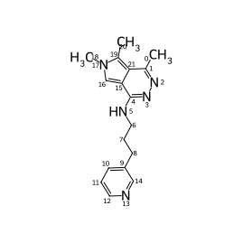 Cc1nnc(NCCCc2cccnc2)c2cn(C)c(C)c12